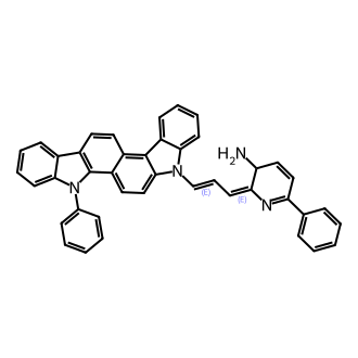 NC1C=CC(c2ccccc2)=N/C1=C/C=C/n1c2ccccc2c2c3ccc4c5ccccc5n(-c5ccccc5)c4c3ccc21